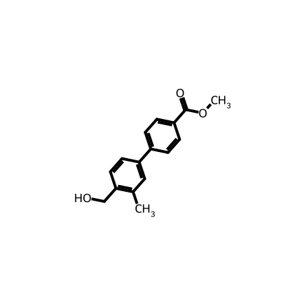 COC(=O)c1ccc(-c2ccc(CO)c(C)c2)cc1